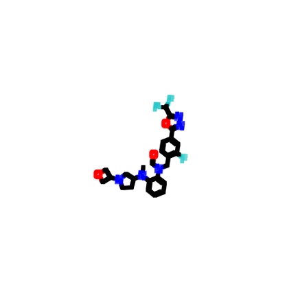 CN(c1ccccc1N(C=O)Cc1ccc(-c2nnc(C(F)F)o2)cc1F)C1CCN(C2COC2)C1